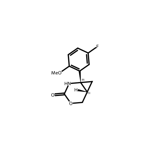 COc1ccc(F)cc1[C@@]12C[C@@H]1COC(=O)N2